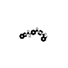 O=C(Nc1ccc(C(=O)N2CCN(C(=O)c3ccccc3F)CC2)cc1)N1Cc2ccccc2C1